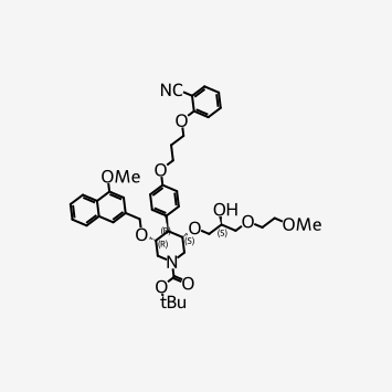 COCCOC[C@H](O)CO[C@@H]1CN(C(=O)OC(C)(C)C)C[C@H](OCc2cc(OC)c3ccccc3c2)[C@H]1c1ccc(OCCCOc2ccccc2C#N)cc1